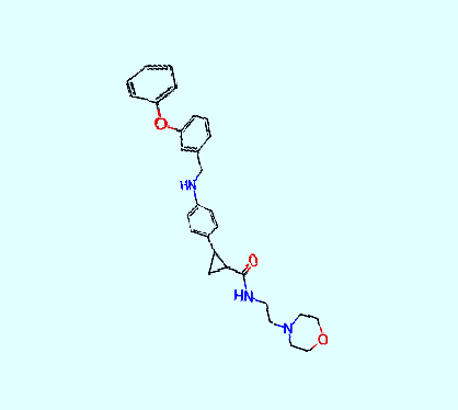 O=C(NCCN1CCOCC1)C1CC1c1ccc(NCc2cccc(Oc3ccccc3)c2)cc1